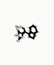 COC/C(=C1/SC(=O)NC1=O)c1cccc2ccccc12